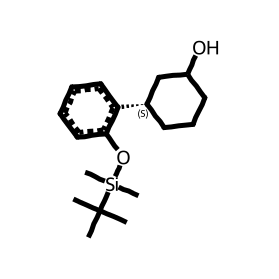 CC(C)(C)[Si](C)(C)Oc1ccccc1[C@H]1CCCC(O)C1